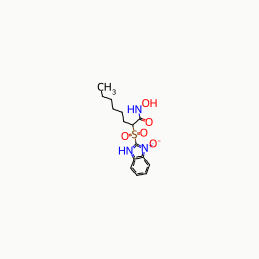 CCCCCCC(C(=O)NO)S(=O)(=O)c1[nH]c2ccccc2[n+]1[O-]